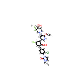 COc1ncc(-c2cc(F)cc(-c3ccc(-n4ccn(C)c4=O)c(Cl)c3)c2O)cc1N1CC[C@@](C)(O)C(F)(F)C1